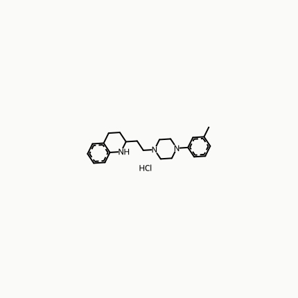 Cc1cccc(N2CCN(CCC3CCc4ccccc4N3)CC2)c1.Cl